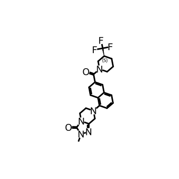 Cn1nc2n(c1=O)CCN(c1cccc3cc(C(=O)N4CCC[C@H](C(F)(F)F)C4)ccc13)C2